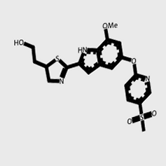 COc1cc(Oc2ccc(S(C)(=O)=O)cn2)cc2cc(C3=NCC(CCO)S3)[nH]c12